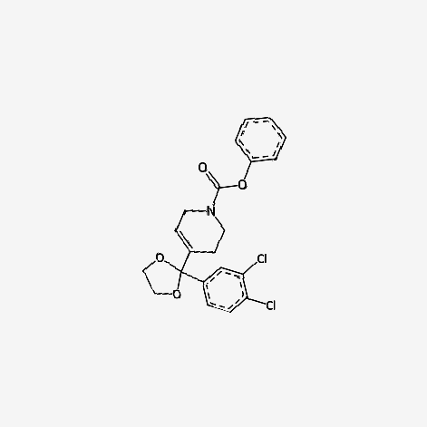 O=C(Oc1ccccc1)N1CC=C(C2(c3ccc(Cl)c(Cl)c3)OCCO2)CC1